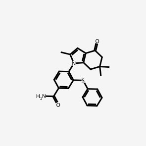 Cc1cc2c(n1-c1ccc(C(N)=O)cc1Sc1ccccc1)CC(C)(C)CC2=O